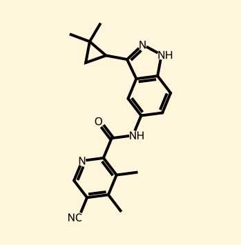 Cc1c(C#N)cnc(C(=O)Nc2ccc3[nH]nc(C4CC4(C)C)c3c2)c1C